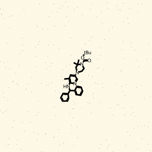 Cc1cc(N2CCN(C(=O)OC(C)(C)C)C(C)(C)C2)cnc1NC(c1ccccc1)c1ccccc1